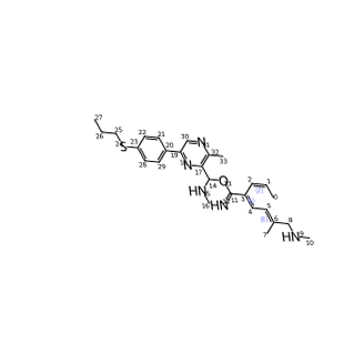 C\C=C/C(=C\C=C(/C)CNC)C(=N)OC(NC)c1nc(-c2ccc(SCCC)cc2)cnc1C